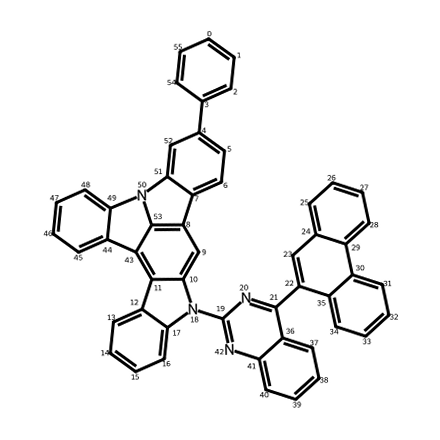 c1ccc(-c2ccc3c4cc5c(c6ccccc6n5-c5nc(-c6cc7ccccc7c7ccccc67)c6ccccc6n5)c5c6ccccc6n(c3c2)c45)cc1